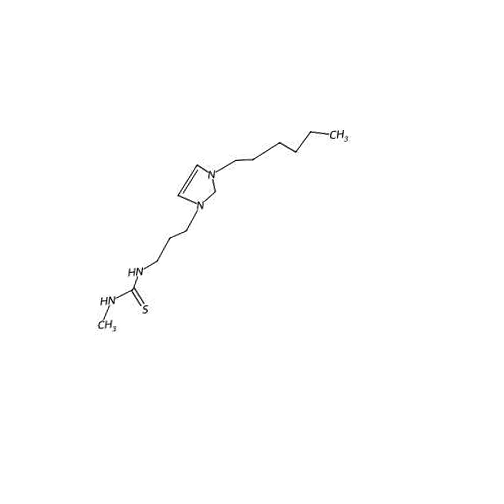 CCCCCCN1C=CN(CCCNC(=S)NC)C1